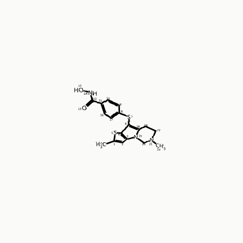 Cc1cc2c(s1)c(Sc1ccc(C(=O)NO)cc1)c1n2CN(C)CC1